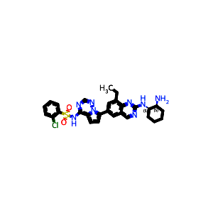 CCc1cc(-c2ccc3c(NS(=O)(=O)c4ccccc4Cl)ncnn23)cc2cnc(N[C@H]3CCCC[C@@H]3N)nc12